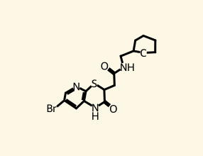 O=C(CC1Sc2ncc(Br)cc2NC1=O)NCC1CCCCC1